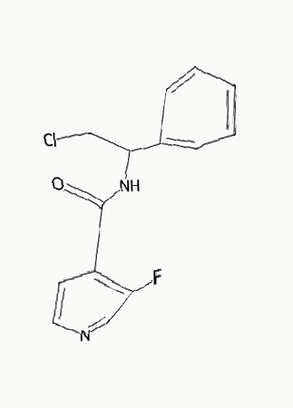 O=C(NC(CCl)c1ccccc1)c1ccncc1F